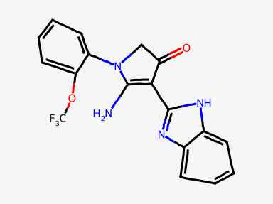 NC1=C(c2nc3ccccc3[nH]2)C(=O)CN1c1ccccc1OC(F)(F)F